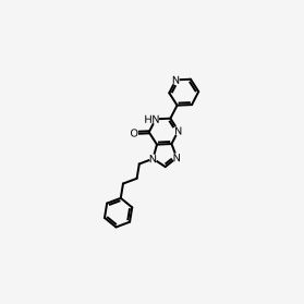 O=c1[nH]c(-c2cccnc2)nc2ncn(CCCc3ccccc3)c12